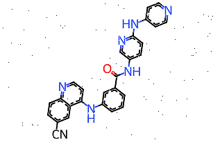 N#Cc1ccc2nccc(Nc3cccc(C(=O)Nc4ccc(Nc5ccncc5)nc4)c3)c2c1